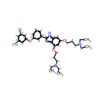 CCN(CC)CCCOc1cc(OCCCN(CC)CC)c2nc(-c3cccc(Oc4cc(Cl)cc(Cl)c4)c3)[nH]c2c1